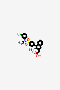 Cc1c(CC(=O)O)cc2ccc(F)cc2c1-c1ccc(S(=O)(=O)N(C)c2cccc(Cl)c2)cc1